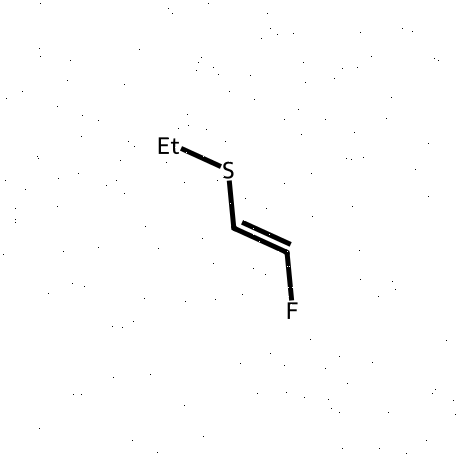 CCSC=CF